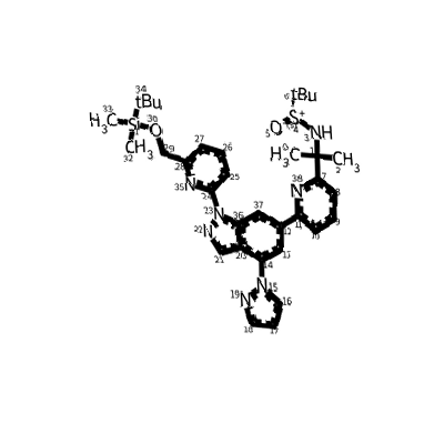 CC(C)(N[S@+]([O-])C(C)(C)C)c1cccc(-c2cc(-n3cccn3)c3cnn(-c4cccc(CO[Si](C)(C)C(C)(C)C)n4)c3c2)n1